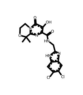 CC1(C)OCCn2c1nc(C(=O)NCc1nc3cc(Cl)c(Cl)cc3[nH]1)c(O)c2=O